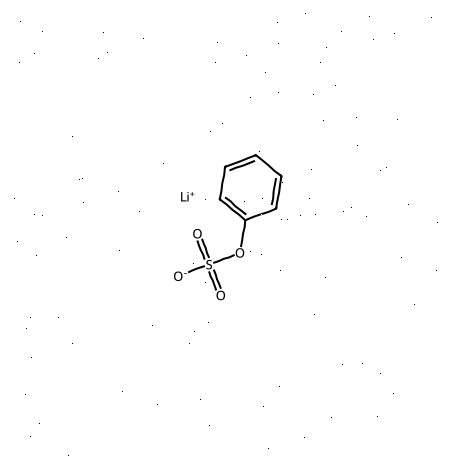 O=S(=O)([O-])Oc1ccccc1.[Li+]